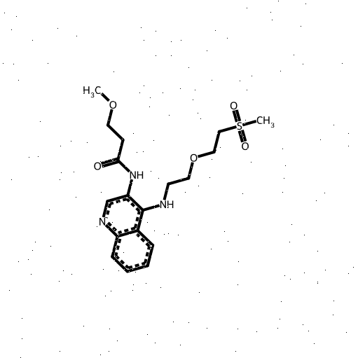 COCCC(=O)Nc1cnc2ccccc2c1NCCOCCS(C)(=O)=O